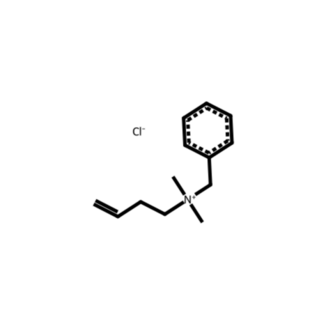 C=CCC[N+](C)(C)Cc1ccccc1.[Cl-]